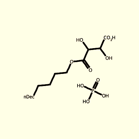 CCCCCCCCCCCCCCOC(=O)C(O)C(O)C(=O)O.O=P(O)(O)O